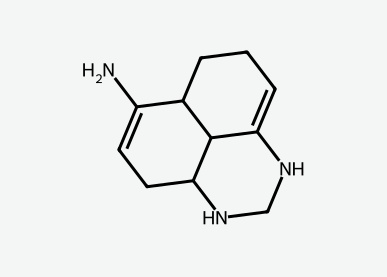 NC1=CCC2NCNC3=CCCC1C32